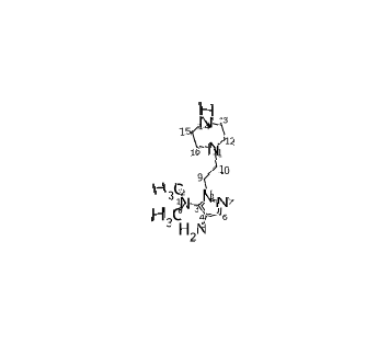 CN(C)c1c(N)cnn1CCN1CCNCC1